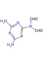 Nc1nc(N)nc(N(C=O)C=O)n1